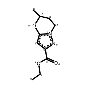 CCOC(=O)c1cc2n(n1)CCC(C)O2